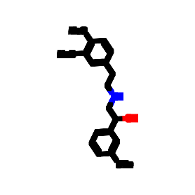 COc1ccc(CCNCC(O)c2cccc(SC)c2)cc1OC